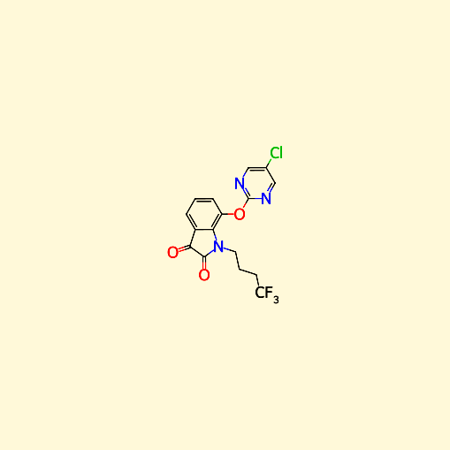 O=C1C(=O)N(CCCC(F)(F)F)c2c(Oc3ncc(Cl)cn3)cccc21